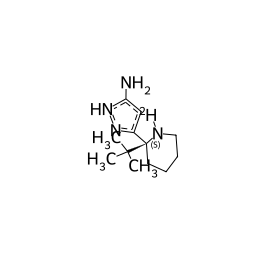 [2H]N1CCCC[C@@]1(c1cc(N)[nH]n1)C(C)(C)C